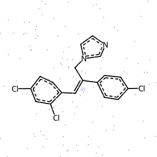 Clc1ccc(/C(=C/c2ccc(Cl)cc2Cl)Cn2ccnc2)cc1